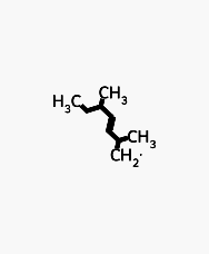 [CH2]C(C)C=CC(C)CC